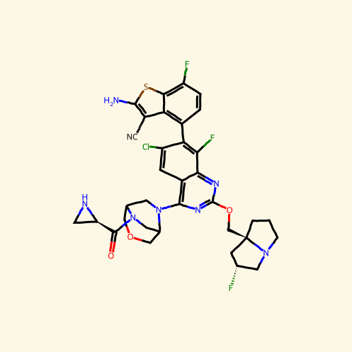 N#Cc1c(N)sc2c(F)ccc(-c3c(Cl)cc4c(N5CC6COCC5CN6C(=O)[C@H]5CN5)nc(OC[C@@]56CCCN5C[C@H](F)C6)nc4c3F)c12